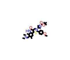 CCOc1ccc(C(=S)N(Cc2cc3cc(C)c(CN(CC)CC)c(C)c3[nH]c2=O)C2CN(C(=O)OC(C)(C)C)C2)cc1